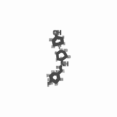 Oc1ccc([C@H]2CC[C@H](NCCc3ccc(F)cc3)CC2)cc1